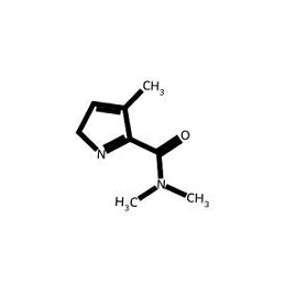 CC1=CCN=C1C(=O)N(C)C